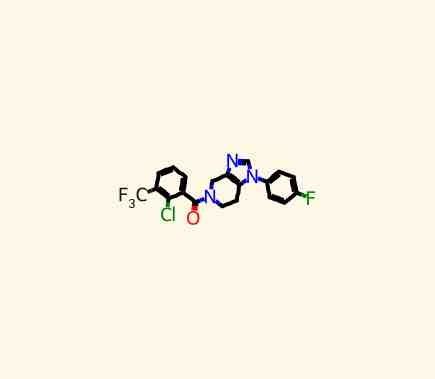 O=C(c1cccc(C(F)(F)F)c1Cl)N1CCc2c(ncn2-c2ccc(F)cc2)C1